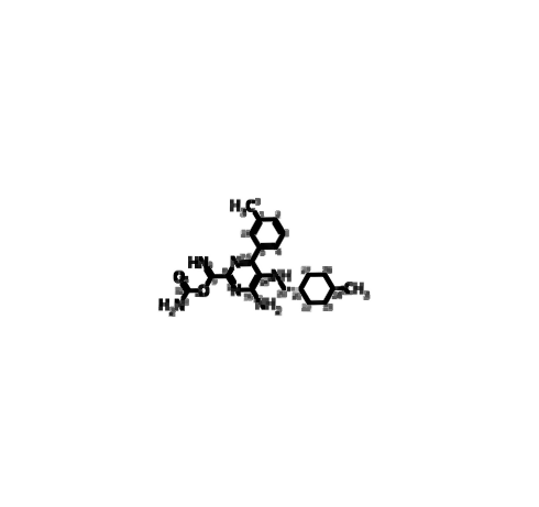 Cc1cccc(-c2nc(C(=N)OC(N)=O)nc(N)c2NC[C@H]2CC[C@H](C)CC2)c1